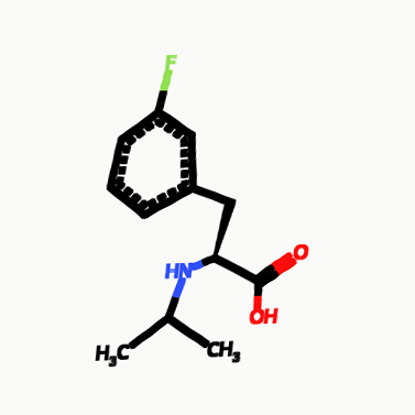 CC(C)N[C@@H](Cc1cccc(F)c1)C(=O)O